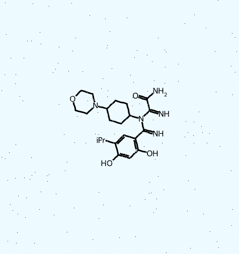 CC(C)c1cc(C(=N)N(C(=N)C(N)=O)C2CCC(N3CCOCC3)CC2)c(O)cc1O